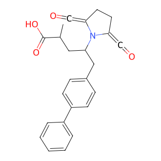 CC(CC(Cc1ccc(-c2ccccc2)cc1)N1C(=C=O)CCC1=C=O)C(=O)O